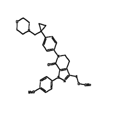 COOSc1nn(-c2ccc(OC)cc2)c2c1CCN(c1ccc(C3(CN4CCOCC4)CC3)cc1)C2=O